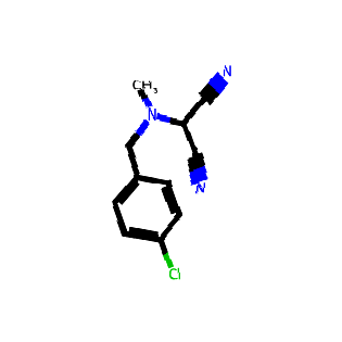 CN(Cc1ccc(Cl)cc1)C(C#N)C#N